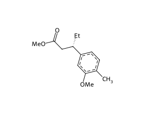 CC[C@@H](CC(=O)OC)c1ccc(C)c(OC)c1